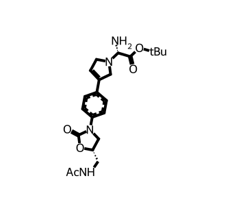 CC(=O)NC[C@H]1CN(c2ccc(C3=CCN([C@H](N)C(=O)OC(C)(C)C)C3)cc2)C(=O)O1